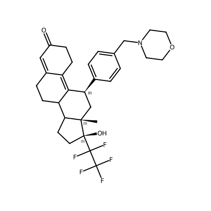 C[C@]12C[C@H](c3ccc(CN4CCOCC4)cc3)C3=C4CCC(=O)C=C4CCC3C1CC[C@@]2(O)C(F)(F)C(F)(F)F